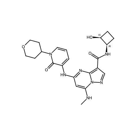 CNc1cc(Nc2cccn(C3CCOCC3)c2=O)nc2c(C(=O)N[C@@H]3CC[C@@H]3O)cnn12